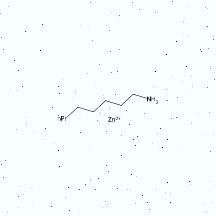 CCCCCCCCN.[Zn+2]